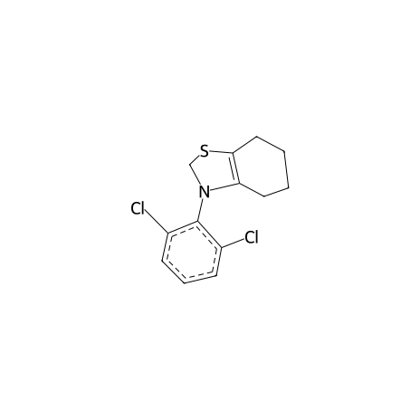 Clc1cccc(Cl)c1N1CSC2=C1CCCC2